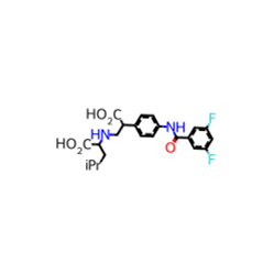 CC(C)CC(NCC(C(=O)O)c1ccc(NC(=O)c2cc(F)cc(F)c2)cc1)C(=O)O